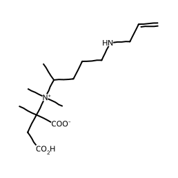 C=CCNCCCC(C)[N+](C)(C)C(C)(CC(=O)O)C(=O)[O-]